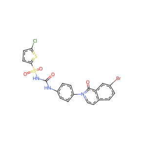 O=C(Nc1ccc(-n2ccc3ccc(Br)cc3c2=O)cc1)NS(=O)(=O)c1ccc(Cl)s1